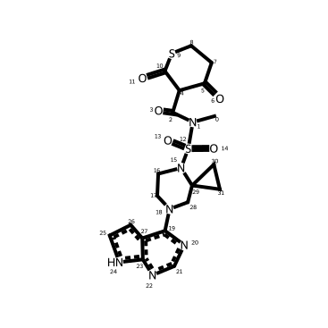 CN(C(=O)C1C(=O)CCSC1=O)S(=O)(=O)N1CCN(c2ncnc3[nH]ccc23)CC12CC2